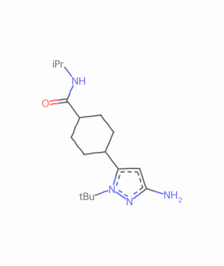 CC(C)NC(=O)C1CCC(c2cc(N)nn2C(C)(C)C)CC1